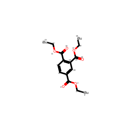 CCC(C)COC(=O)c1ccc(C(=O)OCC(C)CC)c(C(=O)OCC(C)CC)c1